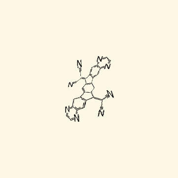 N#CC(C#N)=C1C2=C(CC3C(=C2)c2cc4nccnc4cc2C3=C(C#N)C#N)c2cc3nccnc3cc21